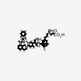 C/C(NCC12CC3(C)CC(CCCN(C=O)CCC(=O)O)(C1)C[C@](C)(C3)C2)=C(/C=N)C1C=NC(N2CCc3cccc(N(C)Nc4nc5ccccc5s4)c3C2)=CC1C